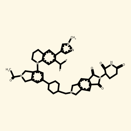 CC(=O)N1Cc2cc(C3CCC(CN4Cc5cc6c(cc5C4)C(=O)N(C4CCC(=O)NC4=O)C6=O)CC3)cc(N3CCCc4cc(-c5cnn(C)c5)c(C(F)F)cc43)c2C1